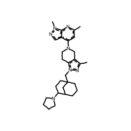 Cc1cc(N2CCc3c(c(C)nn3CC34CCCC(C3)C(N3CCCC3)CC4)C2)c2cnn(C)c2n1